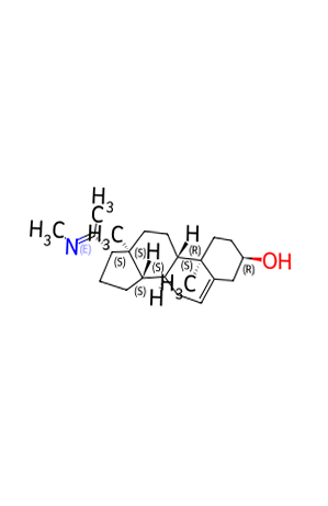 C/N=C(\C)[C@H]1CC[C@H]2[C@@H]3CC=C4C[C@H](O)CC[C@]4(C)[C@H]3CC[C@]12C